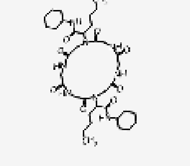 CCCCC(C(=O)NC1CCCCC1)N1CC(=O)NCC(=O)NCC(=O)N(C(CCCC)C(=O)NC2CCCCC2)CC(=O)NCC(=O)NCC1=O